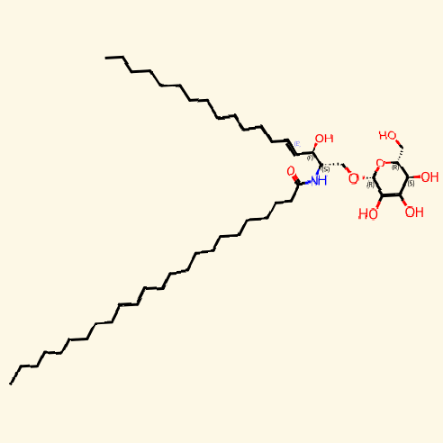 CCCCCCCCCCCCC/C=C/[C@@H](O)[C@H](CO[C@@H]1O[C@H](CO)[C@@H](O)C(O)C1O)NC(=O)CCCCCCCCCCCCCCCCCCCCCCC